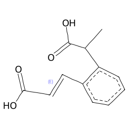 CC(C(=O)O)c1ccccc1/C=C/C(=O)O